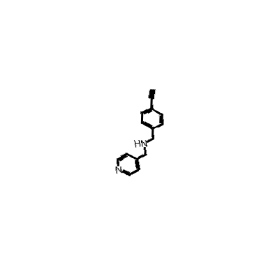 C#Cc1ccc(CNCc2ccncc2)cc1